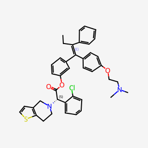 CC/C(=C(/c1ccc(OCCN(C)C)cc1)c1cccc(OC(=O)[C@H](c2ccccc2Cl)N2CCc3sccc3C2)c1)c1ccccc1